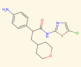 Nc1ccc(C(CC2CCOCC2)C(=O)Nc2ncc(Cl)s2)cc1